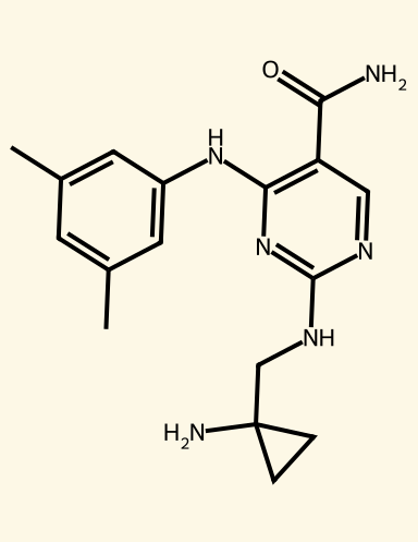 Cc1cc(C)cc(Nc2nc(NCC3(N)CC3)ncc2C(N)=O)c1